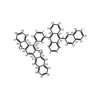 c1cc(-c2c3ccccc3c(-c3ccc4ccccc4c3)c3ccccc23)cc(-c2c3oc4cc5ccccc5cc4c3cc3oc4ccccc4c23)c1